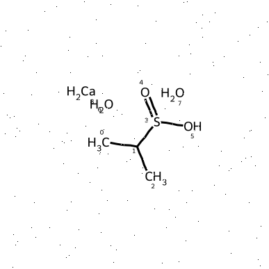 CC(C)S(=O)O.O.O.[CaH2]